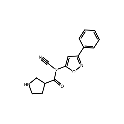 N#CN(C(=O)C1CCNC1)c1cc(-c2ccccc2)no1